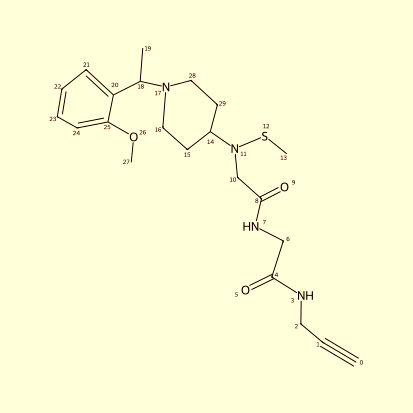 C#CCNC(=O)CNC(=O)CN(SC)C1CCN(C(C)c2ccccc2OC)CC1